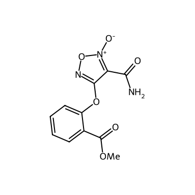 COC(=O)c1ccccc1Oc1no[n+]([O-])c1C(N)=O